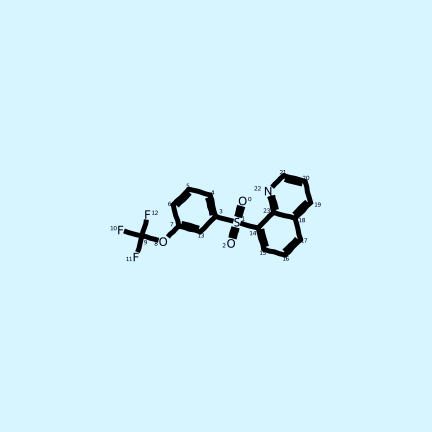 O=S(=O)(c1cccc(OC(F)(F)F)c1)c1cccc2cccnc12